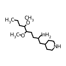 CCCC(OC)C(CC[CH]([InH2])CC1CCNCC1)OC